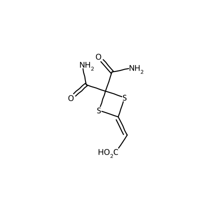 NC(=O)C1(C(N)=O)SC(=CC(=O)O)S1